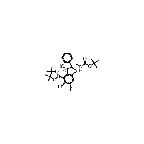 CC(C)(C)OC(=O)NC[C@]1(c2ccccc2)Oc2cc(F)c(Cl)c(B3OC(C)(C)C(C)(C)O3)c2[C@@H]1O